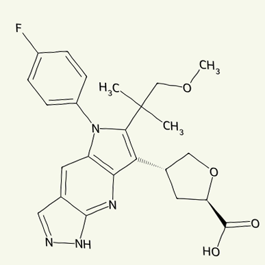 COCC(C)(C)c1c([C@@H]2CO[C@@H](C(=O)O)C2)c2nc3[nH]ncc3cc2n1-c1ccc(F)cc1